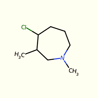 CC1CN(C)CCCC1Cl